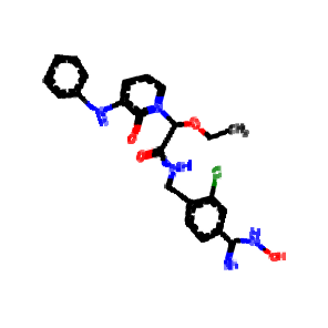 CCOC(C(=O)NCc1ccc(C(=N)NO)cc1Cl)n1cccc(Nc2ccccc2)c1=O